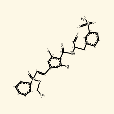 CCOP(=O)(/C=C/c1cc(Cl)c(C(=O)NC(C=O)Cc2cccc(S(C)(=O)=O)c2)c(Cl)c1)c1ccccc1